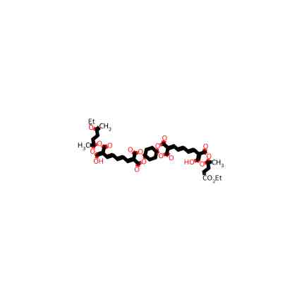 C=C(CCC1(C)OC(=O)C(/C=C/C=C/C=C2C(=O)OC3(CCC4(CC3)OC(=O)C(=C/C=C/C=C/C3=C(O)OC(C)(CCC(=O)OCC)OC3=O)C(=O)O4)OC2=O)=C(O)O1)OCC